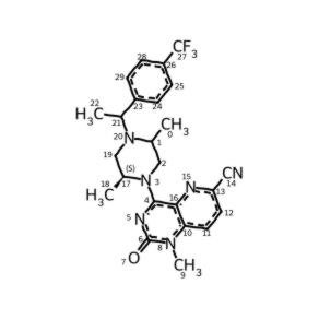 CC1CN(c2nc(=O)n(C)c3ccc(C#N)nc23)[C@@H](C)CN1C(C)c1ccc(C(F)(F)F)cc1